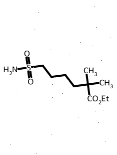 CCOC(=O)C(C)(C)CCCCS(N)(=O)=O